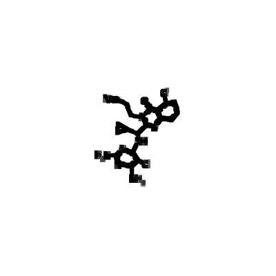 N#CCCn1c([C@@H](Nc2nc(N)nc(N)c2Cl)C2CC2)nc2cccc(Cl)c2c1=O